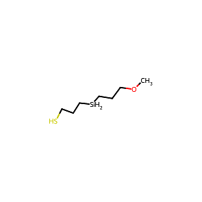 COCCC[SiH2]CCCS